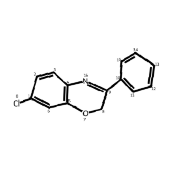 Clc1ccc2c(c1)OCC(c1ccccc1)=N2